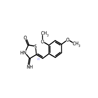 COc1ccc(/C=C2\SC(=O)NC2=N)c(OC)c1